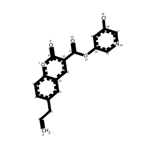 C=CCc1ccc2oc(=O)c(C(=O)Oc3cncc(Cl)c3)cc2c1